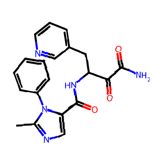 Cc1ncc(C(=O)NC(Cc2cccnc2)C(=O)C(N)=O)n1-c1ccccc1